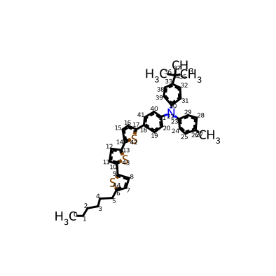 CCCCCCc1ccc(-c2ccc(-c3ccc(-c4ccc(N(c5ccc(C)cc5)c5ccc(C(C)(C)C)cc5)cc4)s3)s2)s1